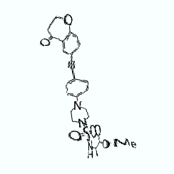 COC(=O)[C@@H](C)NS(=O)(=O)N1CCN(c2ccc(C#Cc3ccc4c(c3)C(=O)CCO4)cc2)CC1